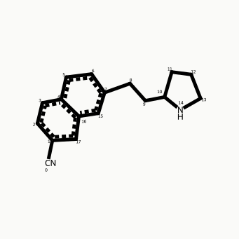 N#Cc1ccc2ccc(CCC3CCCN3)cc2c1